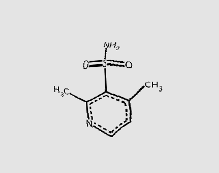 Cc1ccnc(C)c1S(N)(=O)=O